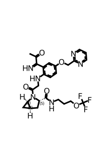 CC(=O)C(=N)c1cc(OCc2ncccn2)ccc1NCC(=O)N1[C@@H]2C[C@@H]2C[C@H]1C(=O)NCCCOC(F)(F)F